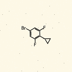 Fc1cc(Br)cc(F)c1[C]1CC1